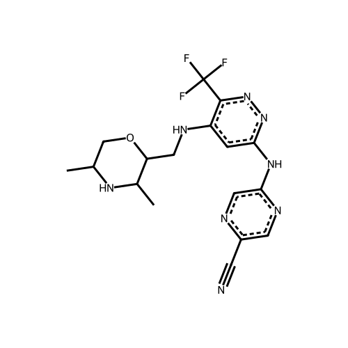 CC1COC(CNc2cc(Nc3cnc(C#N)cn3)nnc2C(F)(F)F)C(C)N1